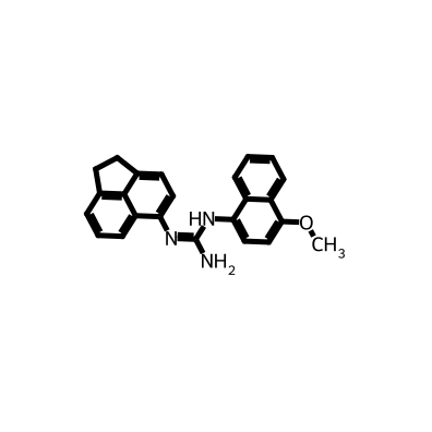 COc1ccc(NC(N)=Nc2ccc3c4c(cccc24)CC3)c2ccccc12